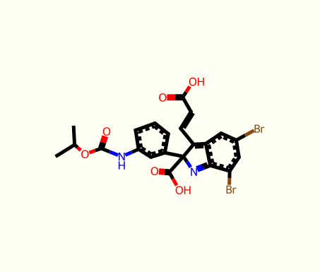 CC(C)OC(=O)Nc1cccc(C2(C(=O)O)N=c3c(Br)cc(Br)cc3=C2C=CC(=O)O)c1